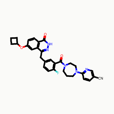 N#Cc1ccc(N2CCCN(C(=O)c3cc(Cc4n[nH]c(=O)c5ccc(OC6CCC6)cc45)ccc3F)CC2)nc1